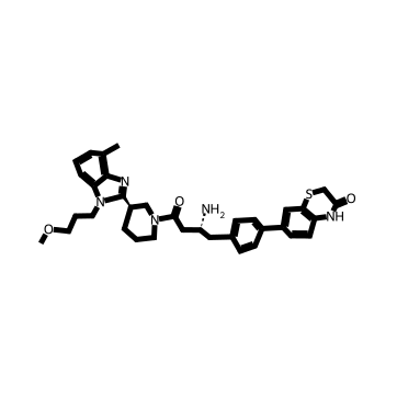 COCCCn1c([C@@H]2CCCN(C(=O)C[C@H](N)Cc3ccc(-c4ccc5c(c4)SCC(=O)N5)cc3)C2)nc2c(C)cccc21